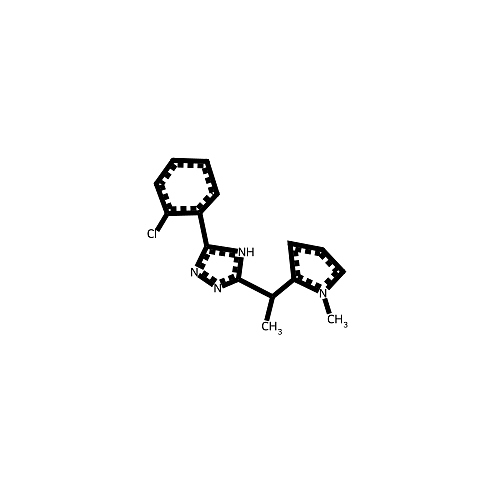 CC(c1nnc(-c2ccccc2Cl)[nH]1)c1cccn1C